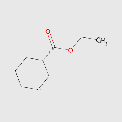 CCOC(=O)[C@@H]1C[CH]CCC1